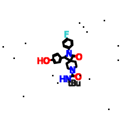 CC(C)(C)NC(=O)N1CCC2(CC1)C(=O)N(c1ccc(F)cc1)C2c1ccc(O)cc1